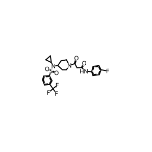 O=C(CC(=O)N1CCC(N(C2CC2)S(=O)(=O)c2cccc(C(F)(F)F)c2)CC1)Nc1ccc(F)cc1